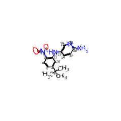 CC(C)(C)c1ccc([N+](=O)[O-])c(Nc2ccc(N)nc2)c1